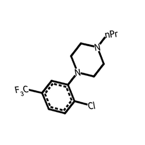 CCCN1CCN(c2cc(C(F)(F)F)ccc2Cl)CC1